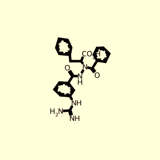 N=C(N)Nc1cccc(C(=O)NN(C(=O)c2ccccc2)C(Cc2ccccc2)C(=O)O)c1